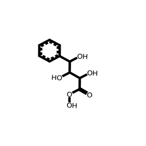 O=C(OO)C(O)C(O)C(O)c1ccccc1